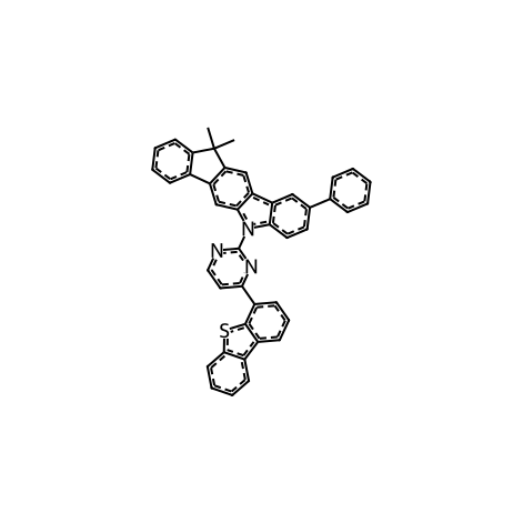 CC1(C)c2ccccc2-c2cc3c(cc21)c1cc(-c2ccccc2)ccc1n3-c1nccc(-c2cccc3c2sc2ccccc23)n1